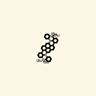 CC(C)(C)[Si]1(C(C)(C)C)c2ccccc2B2c3c(cccc31)-c1ccc3cc4c5c(ccc6cc2c1c3c65)-c1cccc2c1B4c1ccccc1[Si]2(C(C)(C)C)C(C)(C)C